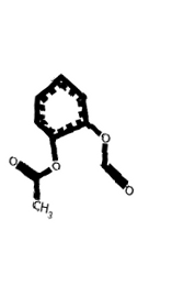 CC(=O)Oc1ccccc1O[C]=O